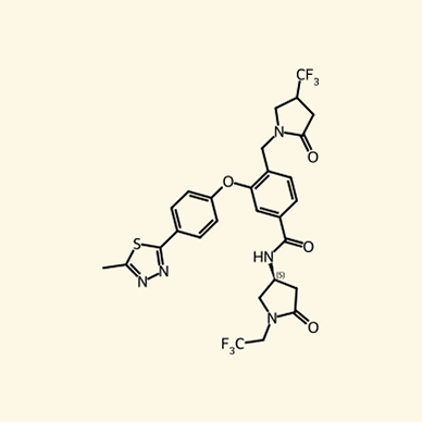 Cc1nnc(-c2ccc(Oc3cc(C(=O)N[C@H]4CC(=O)N(CC(F)(F)F)C4)ccc3CN3CC(C(F)(F)F)CC3=O)cc2)s1